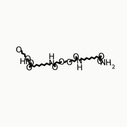 NOC(=O)CCCCCCCNC(=O)CCOCCOCCC(=O)NCCCCCCCC(=O)ONOCCCC=O